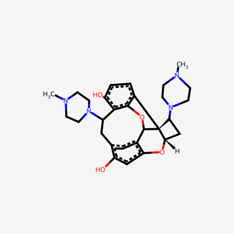 CN1CCN(C2Cc3cc4c(cc3O)O[C@H]3CC(N5CCN(C)CC5)[C@@]35c3ccc(O)c2c3OC45)CC1